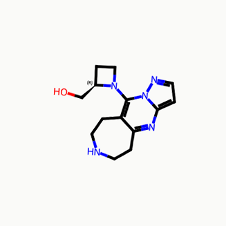 OC[C@H]1CCN1c1c2c(nc3ccnn13)CCNCC2